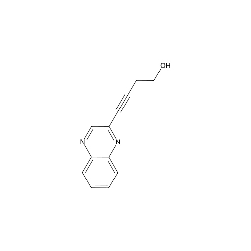 OCCC#Cc1cnc2ccccc2n1